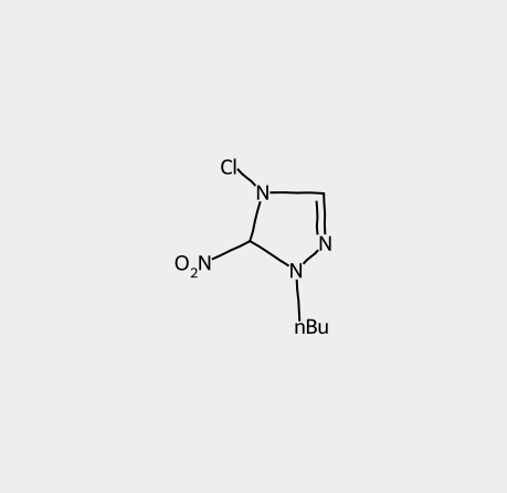 CCCCN1N=CN(Cl)C1[N+](=O)[O-]